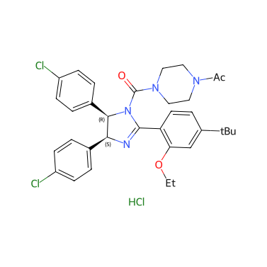 CCOc1cc(C(C)(C)C)ccc1C1=N[C@@H](c2ccc(Cl)cc2)[C@@H](c2ccc(Cl)cc2)N1C(=O)N1CCN(C(C)=O)CC1.Cl